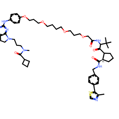 Cc1ncsc1-c1ccc(CNC(=O)[C@@H]2CCCC2C(=O)C(NC(=O)COCCCOCCCCOCCCOc2ccc(Nc3ncc4c(n3)N(CCCN(C)C(=O)C3CCC3)CC4)cc2)C(C)(C)C)cc1